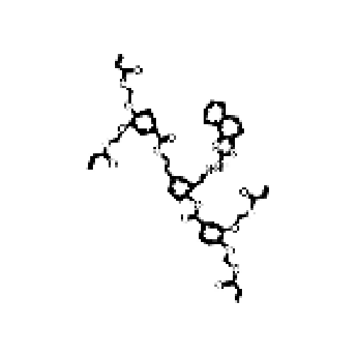 C=CC(=O)OCOc1ccc(C(=O)OCCc2ccc(OC(=O)c3ccc(OCOC(=O)C=C)c(OCOC(=O)C=C)c3)c(/C=N/Nc3nc4c(ccc5ccccc54)s3)c2)cc1OCOC(=O)C=C